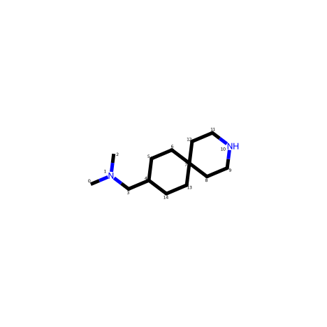 CN(C)CC1CCC2(CCNCC2)CC1